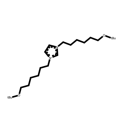 CC(C)(C)OCCCCCCn1cc[n+](CCCCCCOC(C)(C)C)c1